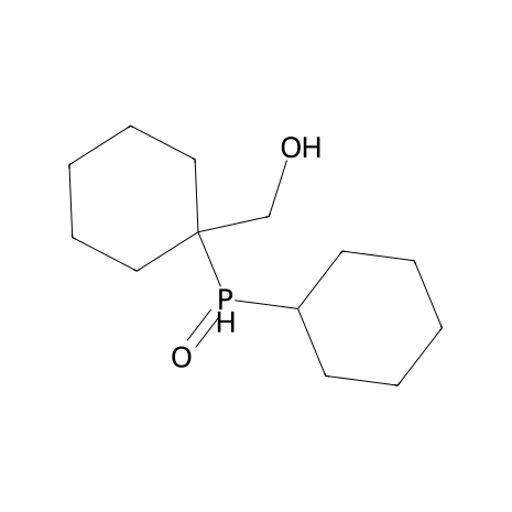 O=[PH](C1CCCCC1)C1(CO)CCCCC1